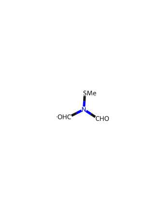 CSN([C]=O)C=O